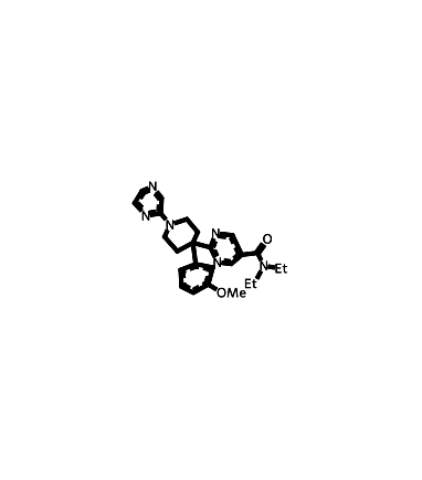 CCN(CC)C(=O)c1cnc(C2(c3cccc(OC)c3)CCN(c3cnccn3)CC2)nc1